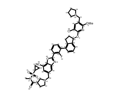 COc1nc(O[C@@H]2CCc3c(-c4cccc(-c5nc6cc(CN7CC[C@@H](C(=O)N(C)S(=O)(=O)C8CC8)C7)cc(C#N)c6o5)c4F)cccc32)c(Cl)cc1CN1CCCC1